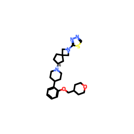 c1ccc(C2CCN([C@@H]3CCC4(C3)CN(c3nncs3)C4)CC2)c(OCC2CCOCC2)c1